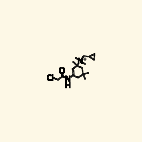 CC1(C)CC(NC(=O)CCl)=CC(C)([N+](C)(C)CC2CC2)C1